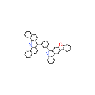 c1cc(-c2nc3ccccc3c3cc4c(cc23)oc2ccccc24)cc(-c2c3ccc4ccccc4c3nc3c2ccc2ccccc23)c1